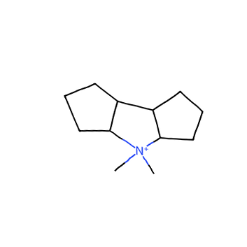 C[N+]1(C)C2CCCC2C2CCCC21